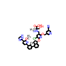 COc1nc(-c2cccc(-c3cccc4c3CC[C@@H]4Oc3nc(OCc4cncc(C#N)c4)c(CNC(C)(CO)C(=O)O)cc3Cl)c2C)ccc1C1=NCCN1